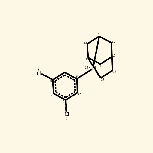 Clc1cc(Cl)cc(N2C3CC4CC(C3)CC2C4)c1